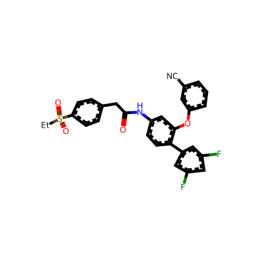 CCS(=O)(=O)c1ccc(CC(=O)Nc2ccc(-c3cc(F)cc(F)c3)c(Oc3cccc(C#N)c3)c2)cc1